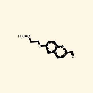 COCCOc1ccc2nc(C=O)ccc2c1